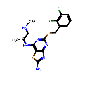 C[C@H](CNC(=O)O)Nc1nc(SCc2cccc(F)c2F)nc2nc(N)sc12